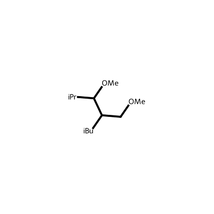 CCC(C)C(COC)C(OC)C(C)C